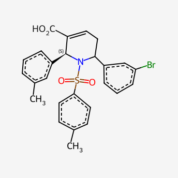 Cc1ccc(S(=O)(=O)N2C(c3cccc(Br)c3)CC=C(C(=O)O)[C@@H]2c2cccc(C)c2)cc1